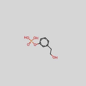 O=P(O)(O)Oc1cccc(CCO)c1